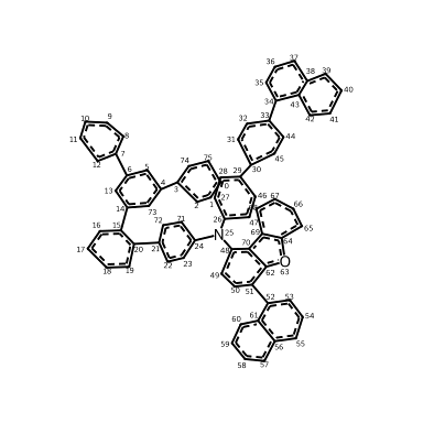 c1ccc(-c2cc(-c3ccccc3)cc(-c3ccccc3-c3ccc(N(c4ccc(-c5ccc(-c6cccc7ccccc67)cc5)cc4)c4ccc(-c5cccc6ccccc56)c5oc6ccccc6c45)cc3)c2)cc1